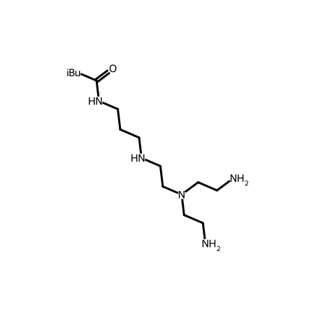 CCC(C)C(=O)NCCCNCCN(CCN)CCN